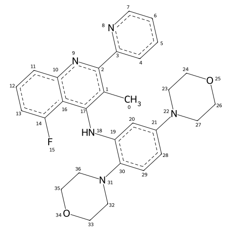 Cc1c(-c2ccccn2)nc2cccc(F)c2c1Nc1cc(N2CCOCC2)ccc1N1CCOCC1